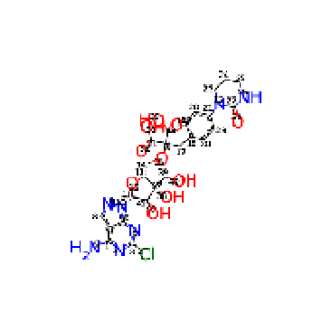 Nc1nc(Cl)nc2c1cnn2[C@@H]1O[C@H](COC(Cc2ccc(N3CCCNC3=O)cc2)(C(=O)O)C(=O)O)[C@@](O)(CO)[C@H]1O